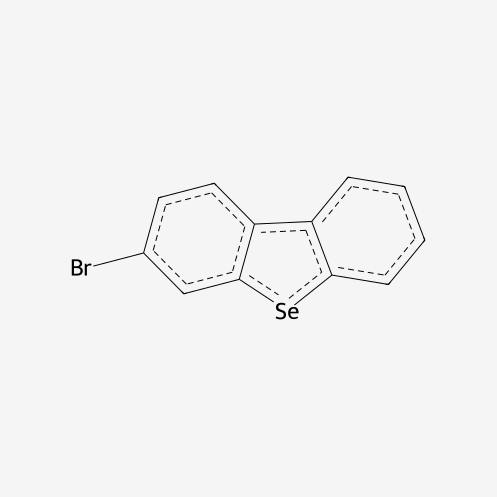 Brc1ccc2c(c1)[se]c1ccccc12